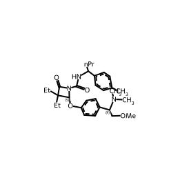 CCCC(NC(=O)N1C(=O)C(CC)(CC)[C@@H]1Oc1ccc([C@H](COC)N(C)C)cc1)c1ccc(C)cc1